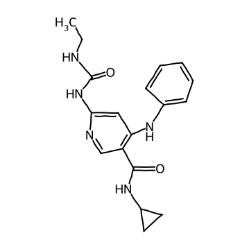 CCNC(=O)Nc1cc(Nc2ccccc2)c(C(=O)NC2CC2)cn1